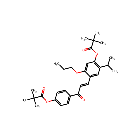 CCCOc1cc(OC(=O)C(C)(C)C)c(C(C)C)cc1C=CC(=O)c1ccc(OC(=O)C(C)(C)C)cc1